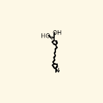 CN(C)c1ccc(/C=C/C=C/C=C/C=C/c2ccc(N(CCO)CCO)cc2)cc1